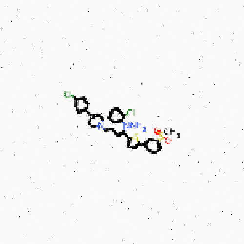 CS(=O)(=O)c1cccc(-c2ccc(/C(=C/CCN3CC=C(c4ccc(Cl)cc4)CC3)N(N)c3ccccc3Cl)s2)c1